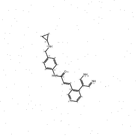 N=C/C(=C\N)c1ccncc1/C=C/C(=O)Nc1ccc(CNC2CC2)cc1